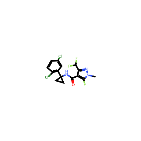 Cn1nc(C(F)F)c(C(=O)NC2(c3cc(Cl)ccc3Cl)CC2)c1F